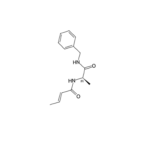 CC=CC(=O)N[C@H](C)C(=O)NCc1ccccc1